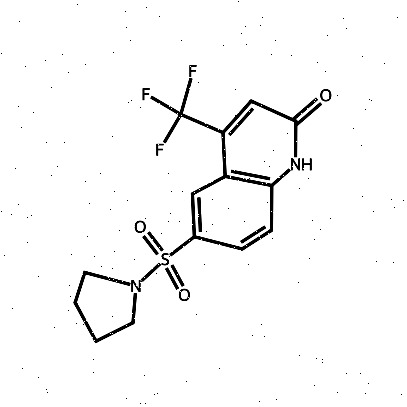 O=c1cc(C(F)(F)F)c2cc(S(=O)(=O)N3CCCC3)ccc2[nH]1